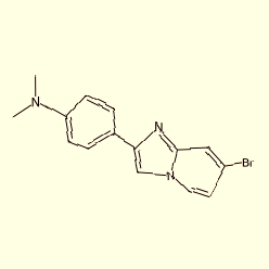 CN(C)c1ccc(-c2cn3ccc(Br)cc3n2)cc1